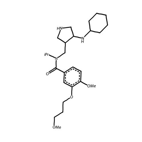 COCCCOc1cc(C(=O)N(CC2CNCC2NC2CCCCC2)C(C)C)ccc1OC